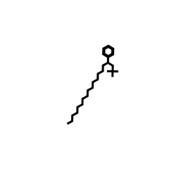 CCCCCCCCCCCCCCCC(CC(C)(C)C)c1ccccc1